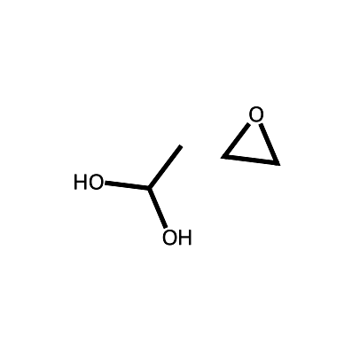 C1CO1.CC(O)O